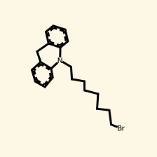 BrCCCCCCCCN1c2ccccc2Cc2ccccc21